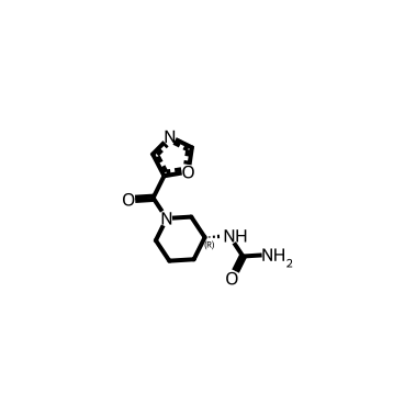 NC(=O)N[C@@H]1CCCN(C(=O)c2cnco2)C1